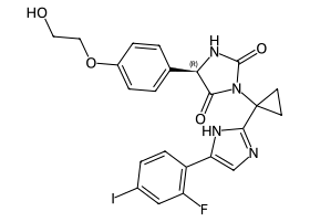 O=C1N[C@H](c2ccc(OCCO)cc2)C(=O)N1C1(c2ncc(-c3ccc(I)cc3F)[nH]2)CC1